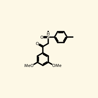 COc1cc(OC)cc(C(=O)C[SH](C)(=O)c2ccc(C)cc2)c1